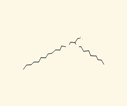 CCCCCCCCCCCCOCC(CN)OCCCCCCCC